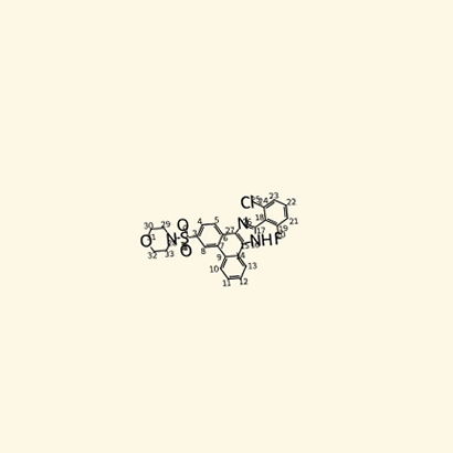 O=S(=O)(c1ccc2c(c1)c1ccccc1c1[nH]c(-c3c(F)cccc3Cl)nc21)N1CCOCC1